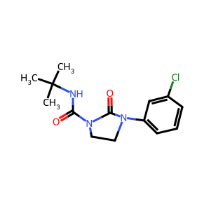 CC(C)(C)NC(=O)N1CCN(c2cccc(Cl)c2)C1=O